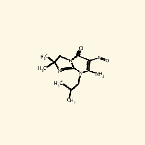 CC(C)CN1C2=NC(C)(C)CN2C(=O)C(N=O)=C1N